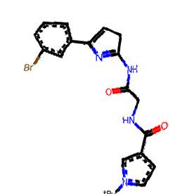 CC(C)(C)n1ccc(C(=O)NCC(=O)NC2=NC(c3cccc(Br)c3)=CC2)c1